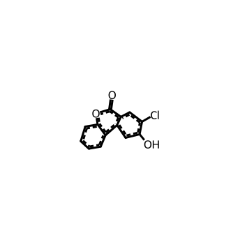 O=c1oc2ccccc2c2cc(O)c(Cl)cc12